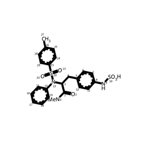 CNC(=O)C(Cc1ccc(NS(=O)(=O)O)cc1)N(c1ccccc1)S(=O)(=O)c1ccc(C)cc1